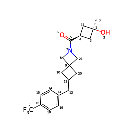 C[C@]1(O)C[C@@H](C(=O)N2CC3(CC(Cc4ccc(C(F)(F)F)cc4)C3)C2)C1